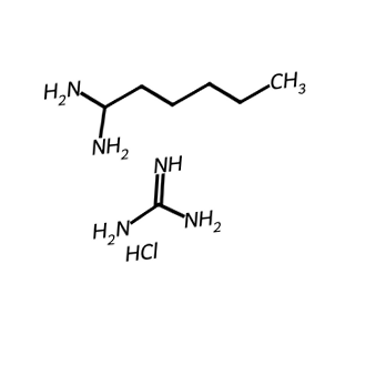 CCCCCC(N)N.Cl.N=C(N)N